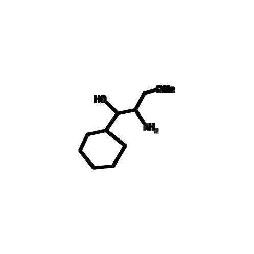 COCC(N)C(O)C1CCCCC1